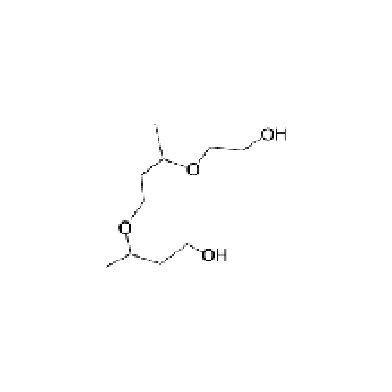 CC(CCO)OCCC(C)OCCO